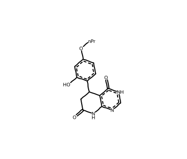 CCCOc1ccc(C2CC(=O)Nc3nc[nH]c(=O)c32)c(O)c1